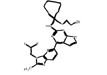 Cc1nc2ccc(-c3nc(NC4(OCCO)CCCCC4)nc4[nH]ccc34)nc2n1CC(F)F